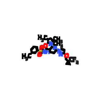 Cc1cccc(S(=O)(=O)NC(=O)c2ccc(-n3ccc(OCC4(C(F)(F)F)CC4)n3)nc2N2C[C@@H](C)CC2(C)C)c1